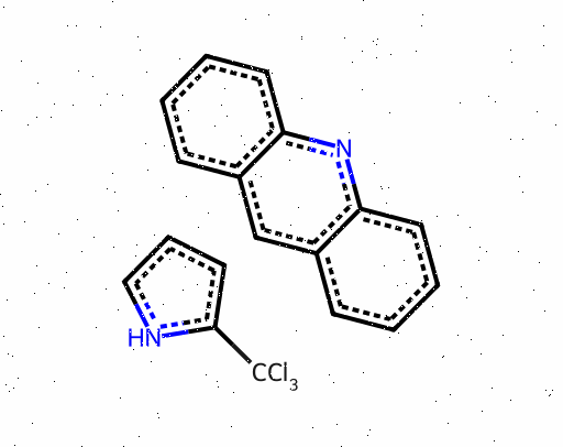 ClC(Cl)(Cl)c1ccc[nH]1.c1ccc2nc3ccccc3cc2c1